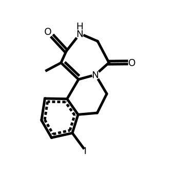 CC1=C2c3cccc(I)c3CCN2C(=O)CNC1=O